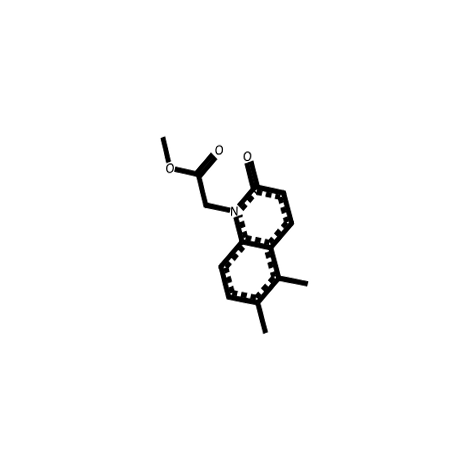 COC(=O)Cn1c(=O)ccc2c(C)c(C)ccc21